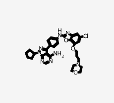 Nc1ncnc2c1c(-c1ccc(Nc3nc4cc(Cl)cc(OCCCN5CCOCC5)c4o3)cc1)nn2C1CCCC1